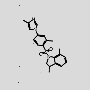 Cc1cn(-c2ccc(S(=O)(=O)N3C[C@H](C)c4cccc(C)c43)c(C)c2)cn1